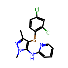 Cc1nn(C)c(Nc2ccccn2)c1Sc1ccc(Cl)cc1Cl